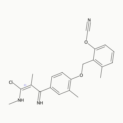 CN/C(Cl)=C(/C)C(=N)c1ccc(OCc2c(C)cccc2OC#N)c(C)c1